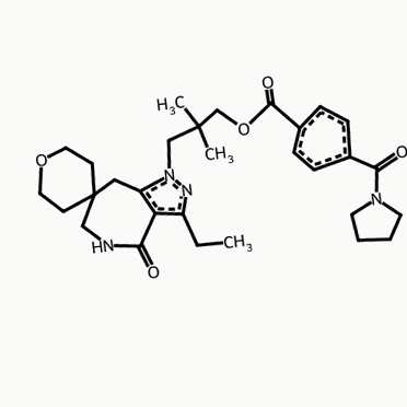 CCc1nn(CC(C)(C)COC(=O)c2ccc(C(=O)N3CCCC3)cc2)c2c1C(=O)NCC1(CCOCC1)C2